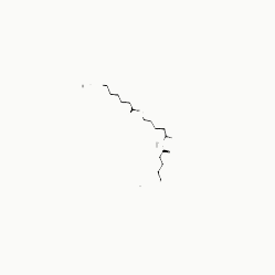 CCCCCCCCCCCCCCCC(=O)NCCCCC(NC(=O)CCCCC(=O)O)C(=O)O